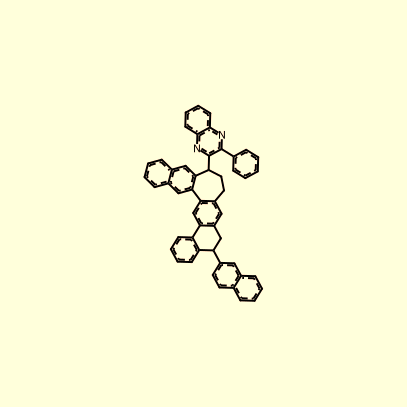 c1ccc(-c2nc3ccccc3nc2C2CCc3cc4c(cc3-c3cc5ccccc5cc32)-c2ccccc2C(c2ccc3ccccc3c2)C4)cc1